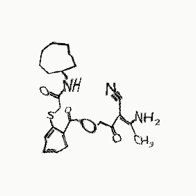 C/C(N)=C(/C#N)C(=O)COC(=O)c1ccccc1SCC(=O)NC1CCCCCCC1